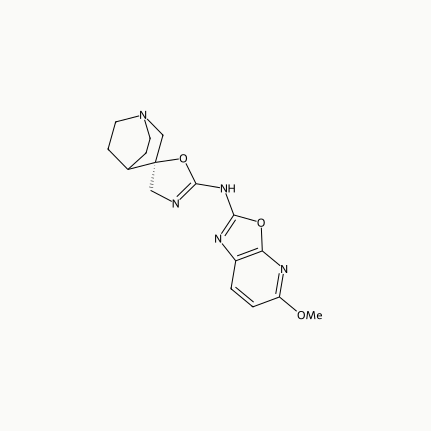 COc1ccc2nc(NC3=NC[C@]4(CN5CCC4CC5)O3)oc2n1